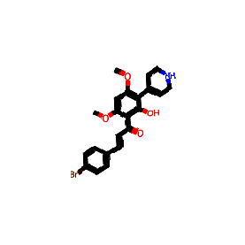 COc1cc(OC)c(C2=CCNCC2)c(O)c1C(=O)/C=C/c1ccc(Br)cc1